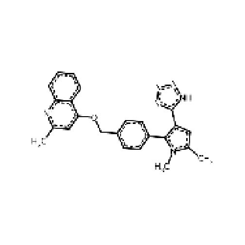 Cc1cc(OCc2ccc(-c3c(-c4nnn[nH]4)cc(C)n3C)cc2)c2ccccc2n1